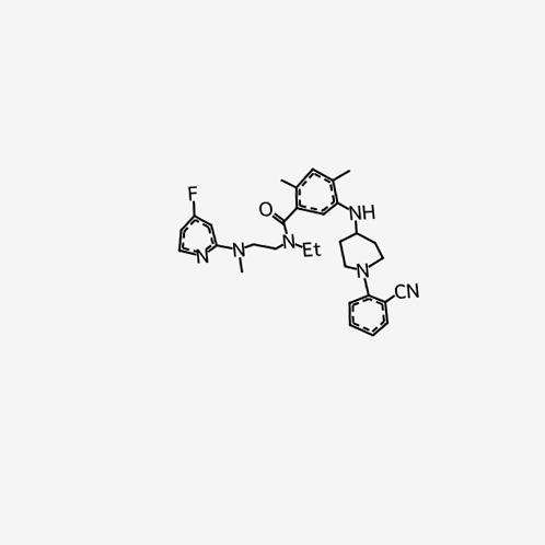 CCN(CCN(C)c1cc(F)ccn1)C(=O)c1cc(NC2CCN(c3ccccc3C#N)CC2)c(C)cc1C